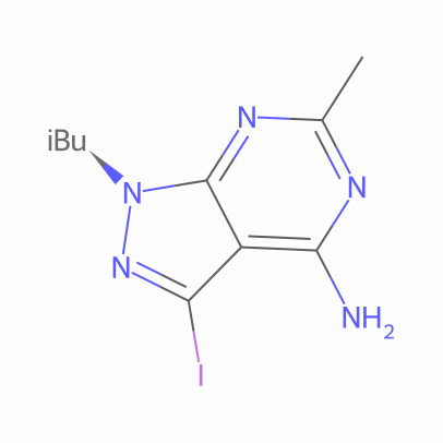 CC[C@H](C)n1nc(I)c2c(N)nc(C)nc21